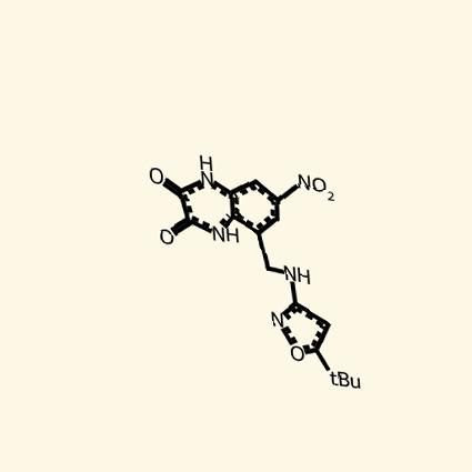 CC(C)(C)c1cc(NCc2cc([N+](=O)[O-])cc3[nH]c(=O)c(=O)[nH]c23)no1